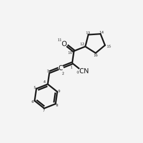 N#CC(=C=Cc1ccccc1)C(=O)C1CCCC1